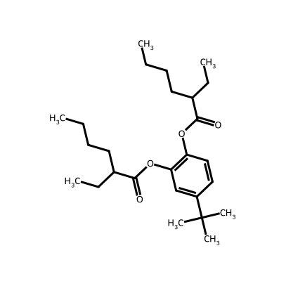 CCCCC(CC)C(=O)Oc1ccc(C(C)(C)C)cc1OC(=O)C(CC)CCCC